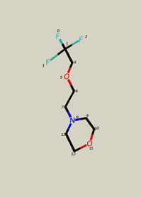 FC(F)(F)COCCN1CCOCC1